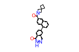 O=C(c1ccc2c(-c3ccc4c(=O)[nH]ncc4c3)cccc2c1)N1CC2(CCC2)C1